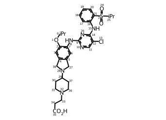 CC(C)Oc1cc2c(cc1Nc1ncc(Cl)c(Nc3ccccc3S(=O)(=O)C(C)C)n1)CN(C1CCN(CCC(=O)O)CC1)C2